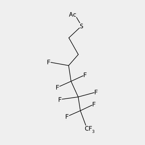 CC(=O)SCCC(F)C(F)(F)C(F)(F)C(F)(F)C(F)(F)F